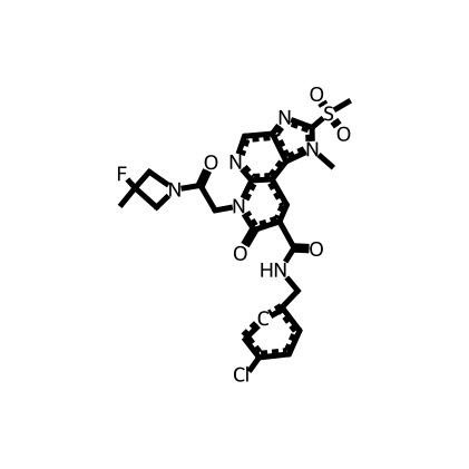 Cn1c(S(C)(=O)=O)nc2cnc3c(cc(C(=O)NCc4ccc(Cl)cc4)c(=O)n3CC(=O)N3CC(C)(F)C3)c21